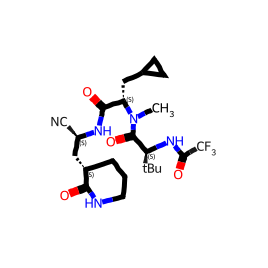 CN(C(=O)[C@@H](NC(=O)C(F)(F)F)C(C)(C)C)[C@@H](CC1CC1)C(=O)N[C@H](C#N)C[C@@H]1CCCNC1=O